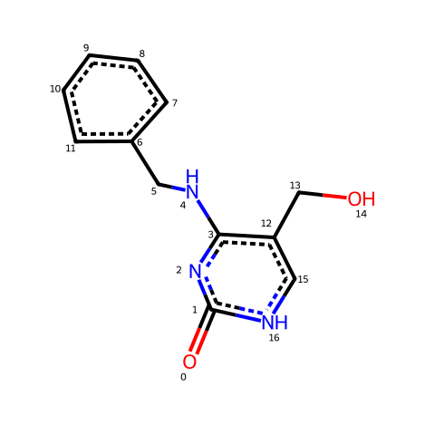 O=c1nc(NCc2ccccc2)c(CO)c[nH]1